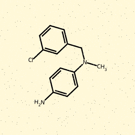 CN(Cc1cccc(Cl)c1)c1ccc(N)cc1